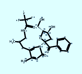 CC(CNC(=O)C(F)(F)F)Cc1cn([C@@]2(C(=O)c3ccccc3)C[C@H](O)[C@@H](CO)O2)c(=O)nc1N